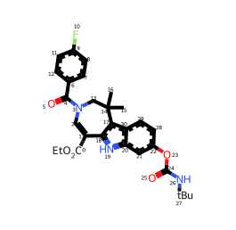 CCOC(=O)C1=CN(C(=O)c2ccc(F)cc2)CC(C)(C)c2c1[nH]c1cc(OC(=O)NC(C)(C)C)ccc21